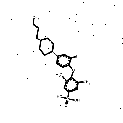 CCCC[C@H]1CC[C@H](c2ccc(Oc3c(C)cc(P(=O)(O)O)cc3C)c(F)c2)CC1